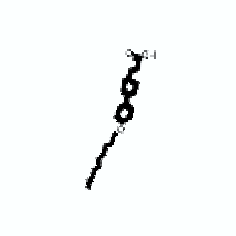 CCCCCCCCCCOc1ccc(-c2ccc(C=CC(=O)O)cc2)cc1